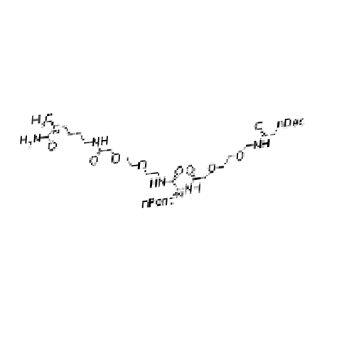 CCCCCCCCCCCC(=O)NCOCCOCC(=O)N[C@@H](CCCCC)C(=O)NCCOCCOCC(=O)NCCCC[C@H](C)C(N)=O